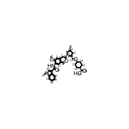 COc1cc(CC(=O)N2C[C@@H](F)C[C@H]2CO[C@H]2CC[C@H](C(=O)O)CC2)c(F)cc1NC(=O)c1cn(C)c2ccccc12